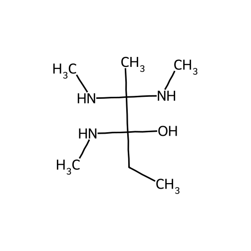 CCC(O)(NC)C(C)(NC)NC